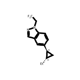 CC[C@H]1C[C@@H]1c1ccc2c(cnn2CC(F)(F)F)c1